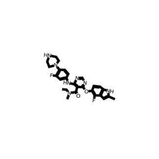 CCN(C)C(=O)c1c(Nc2ccc(N3CCNCC3)c(F)c2)ncnc1Oc1ccc2[nH]c(C)cc2c1F